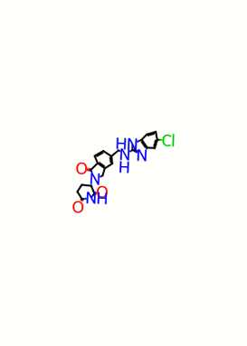 O=C1CCC(N2Cc3cc(CNc4nc5cc(Cl)ccc5[nH]4)ccc3C2=O)C(=O)N1